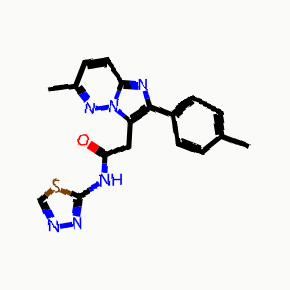 Cc1ccc(-c2nc3ccc(C)nn3c2CC(=O)Nc2nncs2)cc1